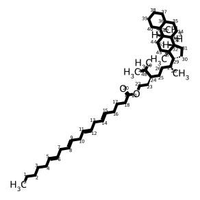 CCCCCC=CCC=CCC=CCC=CCCCC(=O)OCC[C@H](CC[C@@H](C)[C@H]1CC[C@H]2[C@@H]3CCC4CCCC[C@]4(C)[C@H]3CC[C@]12C)C(C)C